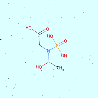 CC(O)N(CC(=O)O)P(=O)(O)O